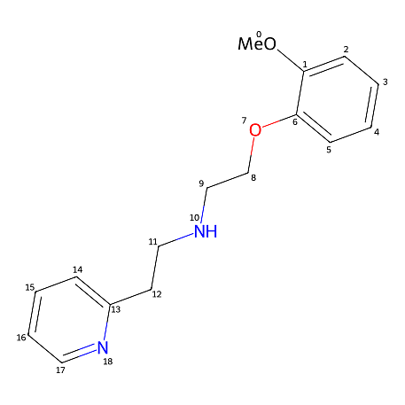 COc1ccccc1OCCNCCc1ccccn1